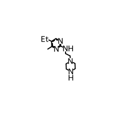 CCc1cnc(NCCN2CCNCC2)nc1C